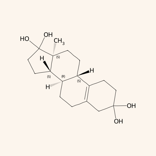 C[C@]12CC[C@@H]3C4=C(CC[C@H]3[C@@H]1CCC2(O)O)CC(O)(O)CC4